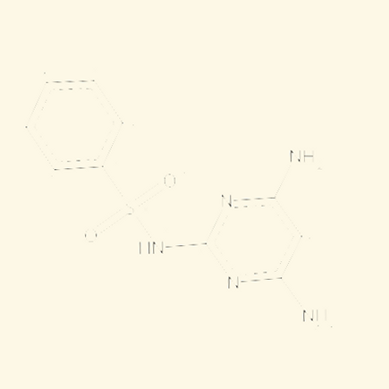 Nc1cc(N)nc(NS(=O)(=O)c2ccccc2)n1